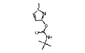 Cn1ccc(OC(=O)NC(C)(C)C)n1